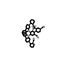 N#Cc1ccc(-c2cc(-n3c4ccccc4c4ccc(-c5ccccc5C#N)cc43)c(-n3c4ccccc4c4ccc(-c5ccccc5C#N)cc43)cc2C#N)c(C(F)(F)F)c1